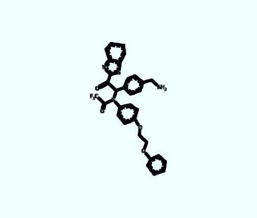 NCc1ccc(C(C(=O)c2nc3ccccc3s2)N(C(=O)C(F)(F)F)c2ccc(OCCOc3ccccc3)cc2)cc1